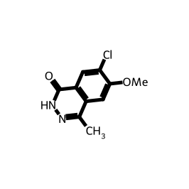 COc1cc2c(C)n[nH]c(=O)c2cc1Cl